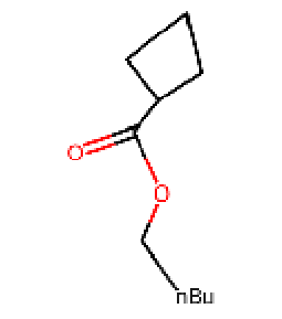 CCCCCOC(=O)C1CCC1